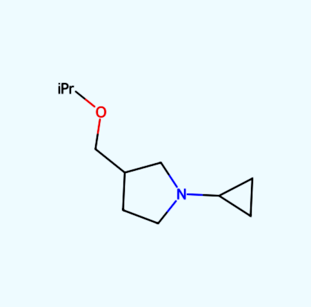 CC(C)OCC1CCN(C2CC2)C1